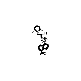 CC(=O)c1cccc2c(S(=O)(=O)NC[C@H](O)CN3[C@H](C)CCC[C@@H]3C)cccc12